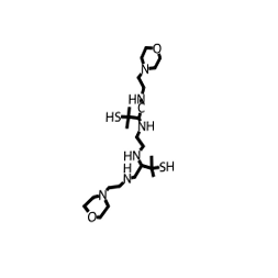 CC(C)(S)C(CNCCN1CCOCC1)NCCNC(CNCCN1CCOCC1)C(C)(C)S